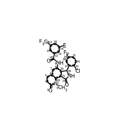 Cn1c(=O)ccc2cc(NC(=O)c3cc(F)cc(C(F)(F)F)c3)c3c(c21)C(=O)NC3c1cc(F)ccc1Cl